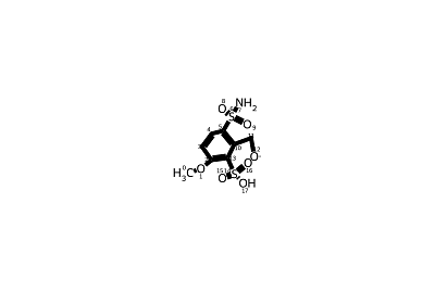 COc1ccc(S(N)(=O)=O)c(C[O])c1S(=O)(=O)O